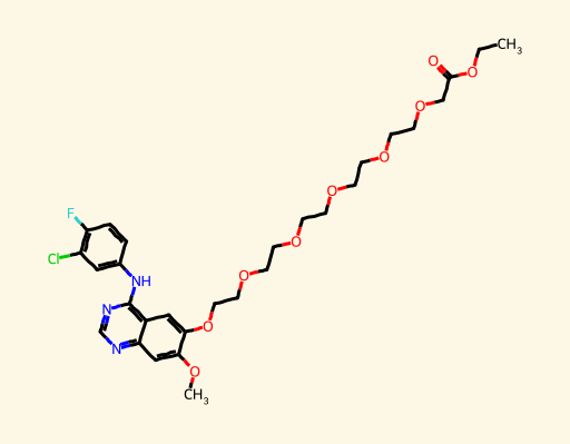 CCOC(=O)COCCOCCOCCOCCOCCOc1cc2c(Nc3ccc(F)c(Cl)c3)ncnc2cc1OC